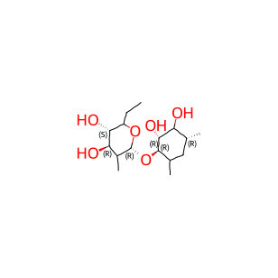 CCC1O[C@H](O[C@@H]2C(C)C[C@@H](C)C(O)[C@H]2O)C(C)[C@@H](O)[C@@H]1O